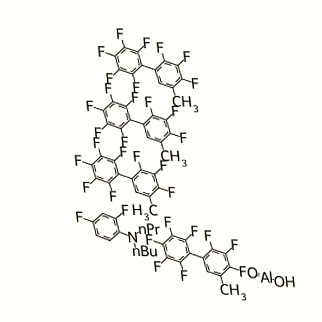 CCCCN(CCC)c1ccc(F)cc1F.Cc1cc(-c2c(F)c(F)c(F)c(F)c2F)c(F)c(F)c1F.Cc1cc(-c2c(F)c(F)c(F)c(F)c2F)c(F)c(F)c1F.Cc1cc(-c2c(F)c(F)c(F)c(F)c2F)c(F)c(F)c1F.Cc1cc(-c2c(F)c(F)c(F)c(F)c2F)c(F)c(F)c1F.[O]=[Al][OH]